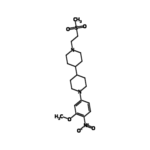 COc1cc(N2CCC(C3CCN(CCS(C)(=O)=O)CC3)CC2)ccc1[N+](=O)[O-]